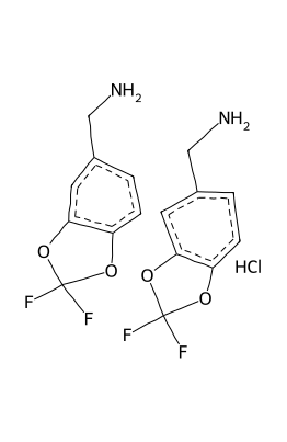 Cl.NCc1ccc2c(c1)OC(F)(F)O2.NCc1ccc2c(c1)OC(F)(F)O2